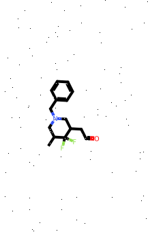 CC1CN(Cc2ccccc2)CC(CC=O)C1(F)F